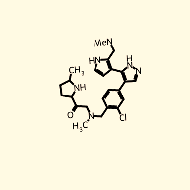 CNCc1[nH]ccc1-c1[nH]ncc1-c1ccc(CN(C)CC(=O)C2CCC(C)N2)c(Cl)c1